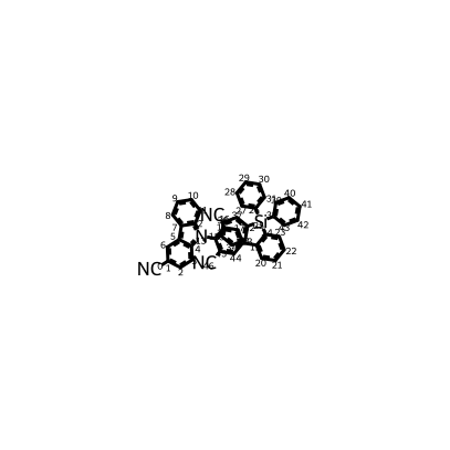 N#Cc1ccc2c(c1)c1ccccc1n2-c1c(C#N)cc(-c2ccccc2[Si](c2ccccc2)(c2ccccc2)c2ccccc2)cc1C#N